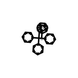 C[C]12[CH]3[CH]4[CH]5[CH]1[Fe]45321678[CH]2[CH]1[CH]6[C]7(C(c1ccccc1)(c1ccccc1)c1ccccc1)[CH]28